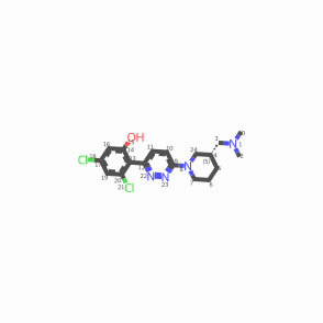 CN(C)C[C@@H]1CCCN(c2ccc(-c3c(O)cc(Cl)cc3Cl)nn2)C1